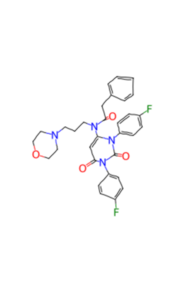 O=C(Cc1ccccc1)N(CCCN1CCOCC1)c1cc(=O)n(-c2ccc(F)cc2)c(=O)n1-c1ccc(F)cc1